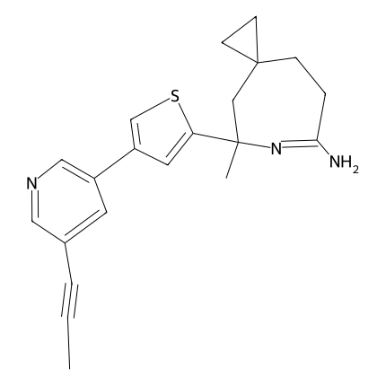 CC#Cc1cncc(-c2csc(C3(C)CC4(CCC(N)=N3)CC4)c2)c1